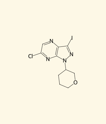 Clc1cnc2c(I)nn(C3CCCOC3)c2n1